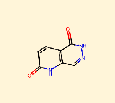 O=c1ccc2c(=O)[nH]ncc2[nH]1